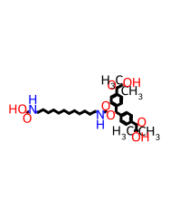 CC(C)(O)C(=O)c1ccc(C(OC(=O)NCCCCCCCCCCCCNC(=O)O)c2ccc(C(=O)C(C)(C)O)cc2)cc1